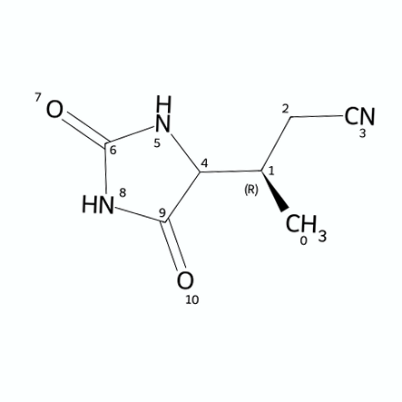 C[C@H](CC#N)C1NC(=O)NC1=O